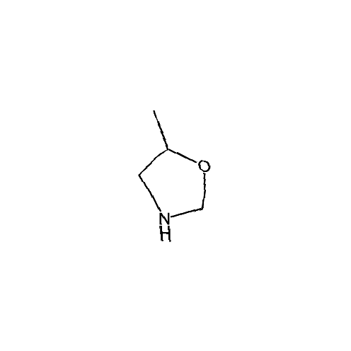 CC1CNCO1